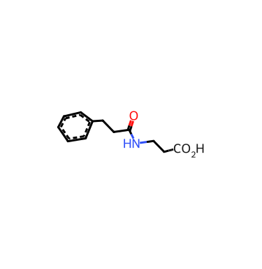 O=C(O)CCNC(=O)CCc1ccccc1